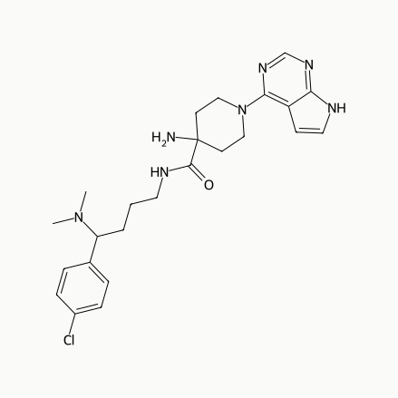 CN(C)C(CCCNC(=O)C1(N)CCN(c2ncnc3[nH]ccc23)CC1)c1ccc(Cl)cc1